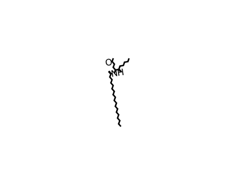 C=C(CCCCCCCCCCCCCCCCCC)NC(CCC(C)=O)C(=C)CCCCC